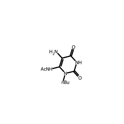 CCCCn1c(NC(C)=O)c(N)c(=O)[nH]c1=O